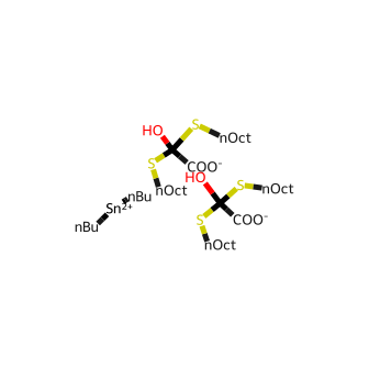 CCCCCCCCSC(O)(SCCCCCCCC)C(=O)[O-].CCCCCCCCSC(O)(SCCCCCCCC)C(=O)[O-].CCC[CH2][Sn+2][CH2]CCC